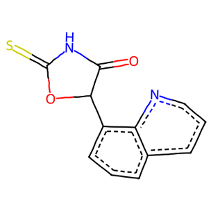 O=C1NC(=S)OC1c1cccc2cccnc12